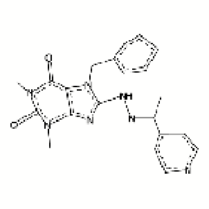 C/C(=N\Nc1nc2c(c(=O)n(C)c(=O)n2C)n1Cc1ccccc1)c1ccncc1